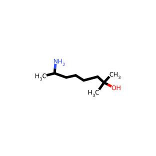 CC(N)CCCCC(C)(C)O